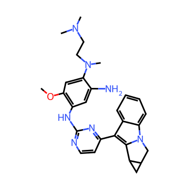 COc1cc(N(C)CCN(C)C)c(N)cc1Nc1nccc(-c2c3n(c4ccccc24)CC2CC32)n1